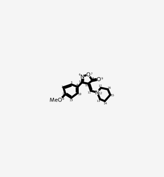 COc1ccc(C2=NOC(=O)/C2=C\N2CCCCC2)cc1